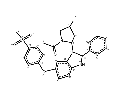 CC(=O)N1CC(F)CC1N1c2cc(Oc3ccc(S(C)(=O)=O)cc3)ccc2NC1c1ccccn1